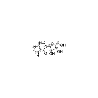 O=c1c2[nH]cnc2ncn1C1O[C@@H](CO)[C@H](O)[C@@H]1O